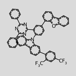 FC(F)(F)c1ccc(-c2ccc3c4ccccc4n(-c4ccc(-c5cccc6c5oc5ccccc56)cc4-c4nc(-c5ccccc5)nc(-c5ccccc5)n4)c3c2)c(C(F)(F)F)c1